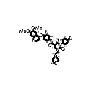 COc1cc2nccc(Oc3ccc(NC(=O)c4cn(CCN5CCOCC5)c(=O)n(-c5ccc(F)cc5)c4=O)cc3F)c2cc1OC